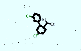 CCC(CC)c1ccc(Cl)cc1-c1cccc(Cl)c1